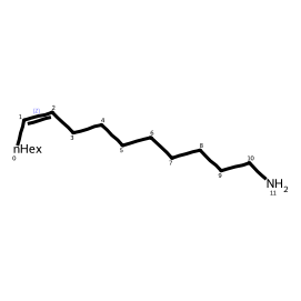 CCCCCC/C=C\CCCCCCCCN